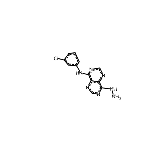 NNc1ncnc2c(Nc3cccc(Cl)c3)ncnc12